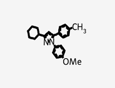 COc1ccc(-n2nc(C3CCCCC3)cc2-c2ccc(C)cc2)cc1